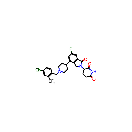 O=C1CCC(N2Cc3c(cc(F)cc3C3CCN(Cc4ccc(Cl)cc4C(F)(F)F)CC3)C2=O)C(=O)N1